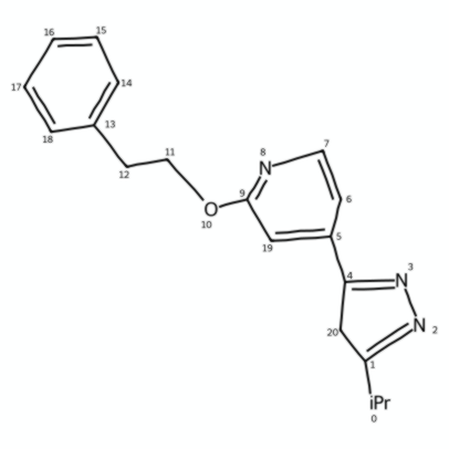 CC(C)C1=NN=C(c2ccnc(OCCc3ccccc3)c2)C1